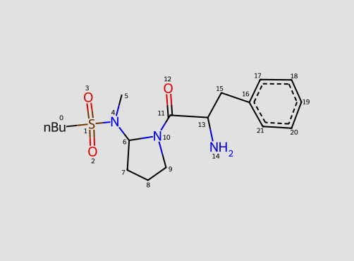 CCCCS(=O)(=O)N(C)C1CCCN1C(=O)C(N)Cc1ccccc1